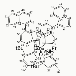 CCC1=Cc2c(-c3cccc4ccccc34)cccc2[CH]1[Zr]([O]c1ccc(C)cc1C(C)(C)C)([O]c1ccc(C)cc1C(C)(C)C)([CH]1C(CC)=Cc2c(-c3cccc4ccccc34)cccc21)[SiH](C)C